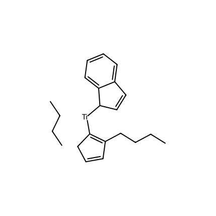 CCCC.CCCCC1=[C]([Ti][CH]2C=Cc3ccccc32)CC=C1